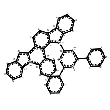 c1ccc(-c2nc(-c3ccccc3)nc(-n3c4ccccc4c4ccc5c(c6ccccc6n6c7ccccc7cc56)c43)n2)cc1